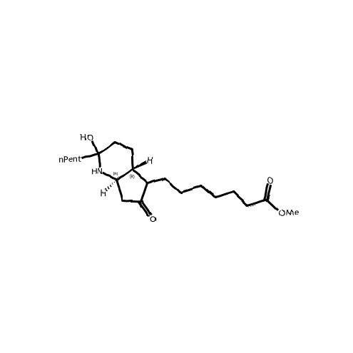 CCCCCC1(O)CC[C@@H]2C(CCCCCCC(=O)OC)C(=O)C[C@H]2N1